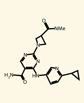 CNC(=O)C1CN(c2ncc(C(N)=O)c(Nc3ccc(C4CC4)nc3)n2)C1